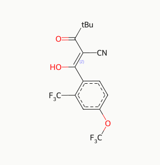 CC(C)(C)C(=O)/C(C#N)=C(\O)c1ccc(OC(F)(F)F)cc1C(F)(F)F